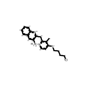 Cc1c(SCCCCCl)ccnc1Cc1nc2ccccc2cc1N